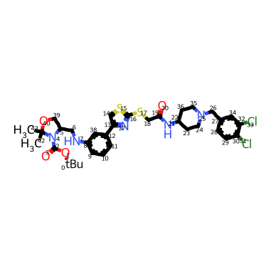 CC(C)(C)OC(=O)N1C(CNc2cccc(-c3csc(SCC(=O)NC4CCN(Cc5ccc(Cl)c(Cl)c5)CC4)n3)c2)COC1(C)C